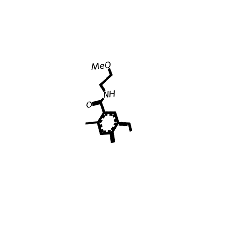 C=c1cc(C)c(C(=O)NCCOC)c/c1=C/C